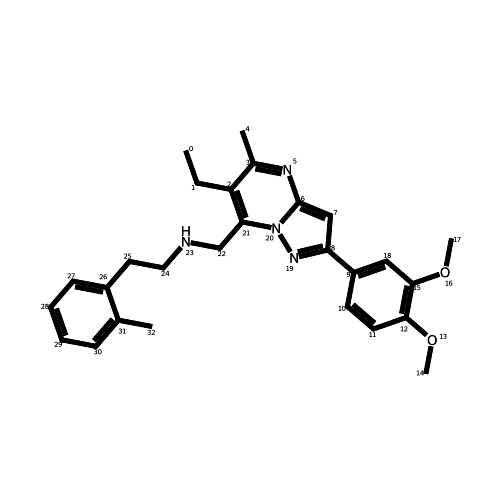 CCc1c(C)nc2cc(-c3ccc(OC)c(OC)c3)nn2c1CNCCc1ccccc1C